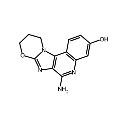 Nc1nc2cc(O)ccc2c2c1nc1n2CCCO1